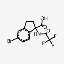 O=C(NC1(C(=O)O)CCc2cc(Br)ccc21)C(F)(F)F